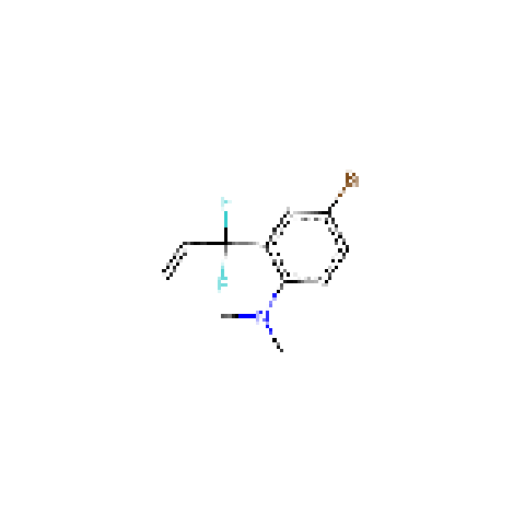 C=CC(F)(F)c1cc(Br)ccc1N(C)C